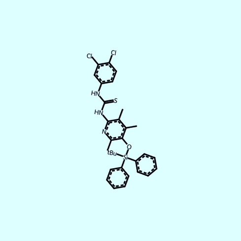 Cc1nc(NC(=S)Nc2ccc(Cl)c(Cl)c2)c(C)c(C)c1O[Si](c1ccccc1)(c1ccccc1)C(C)(C)C